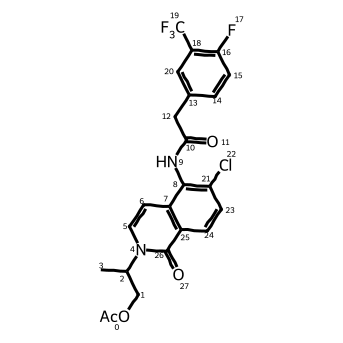 CC(=O)OCC(C)n1ccc2c(NC(=O)Cc3ccc(F)c(C(F)(F)F)c3)c(Cl)ccc2c1=O